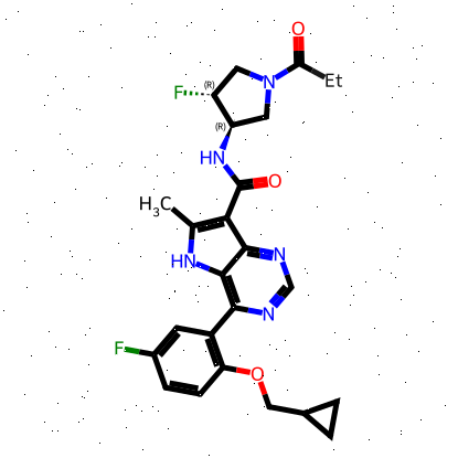 CCC(=O)N1C[C@@H](F)[C@H](NC(=O)c2c(C)[nH]c3c(-c4cc(F)ccc4OCC4CC4)ncnc23)C1